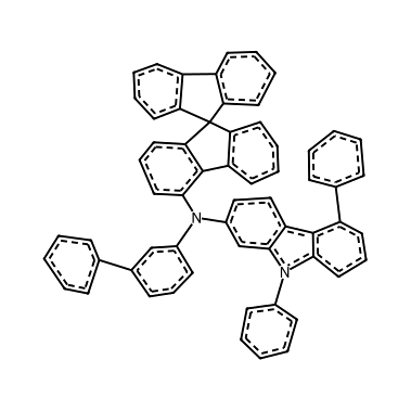 c1ccc(-c2cccc(N(c3ccc4c5c(-c6ccccc6)cccc5n(-c5ccccc5)c4c3)c3cccc4c3-c3ccccc3C43c4ccccc4-c4ccccc43)c2)cc1